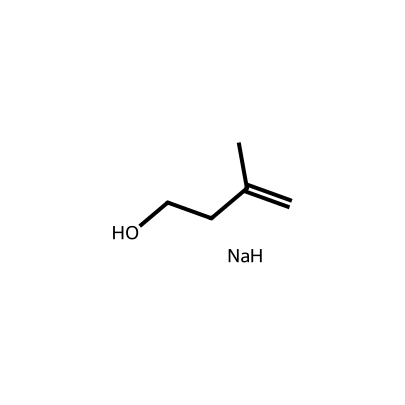 C=C(C)CCO.[NaH]